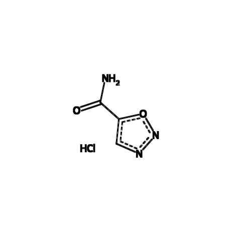 Cl.NC(=O)c1cnno1